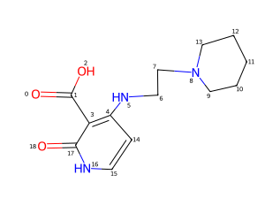 O=C(O)c1c(NCCN2CCCCC2)cc[nH]c1=O